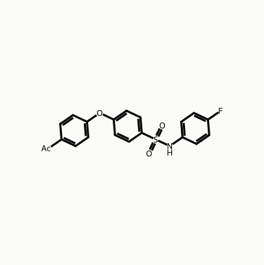 CC(=O)c1ccc(Oc2ccc(S(=O)(=O)Nc3ccc(F)cc3)cc2)cc1